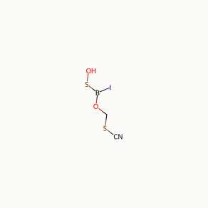 N#CSCOB(I)SO